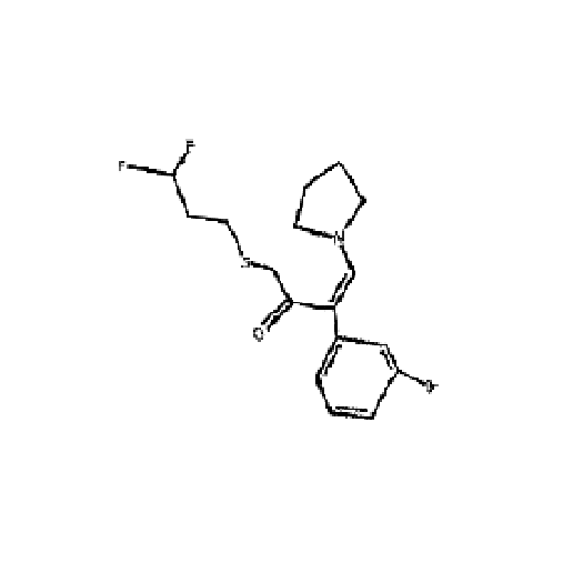 O=C(CSCCC(F)F)C(=CN1CCCC1)c1cccc(Br)c1